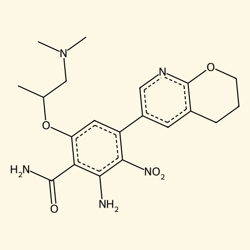 CC(CN(C)C)Oc1cc(-c2cnc3c(c2)CCCO3)c([N+](=O)[O-])c(N)c1C(N)=O